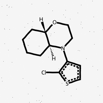 Clc1sccc1N1CCO[C@H]2CCCC[C@@H]21